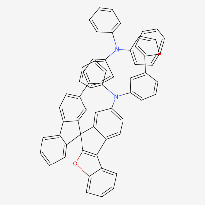 c1ccc(-c2cccc(N(c3ccccc3)c3ccc4c(c3)C3(c5ccccc5-c5ccc(-c6ccc(N(c7ccccc7)c7ccccc7)cc6)cc53)c3oc5ccccc5c3-4)c2)cc1